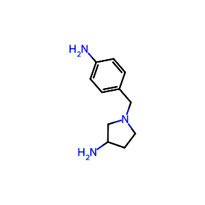 Nc1ccc(CN2CCC(N)C2)cc1